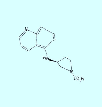 O=C(O)N1CC[C@H](Nc2cccc3ncccc23)C1